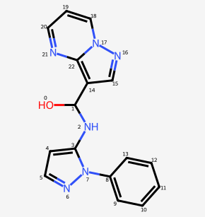 OC(Nc1ccnn1-c1ccccc1)c1cnn2cccnc12